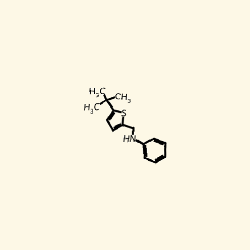 CC(C)(C)c1ccc(CNc2ccccc2)s1